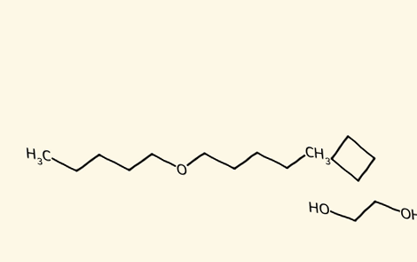 C1CCC1.CCCCCOCCCCC.OCCO